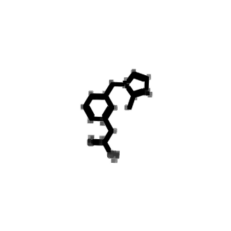 Cc1nccn1Cc1cccc(CC(=O)O)c1